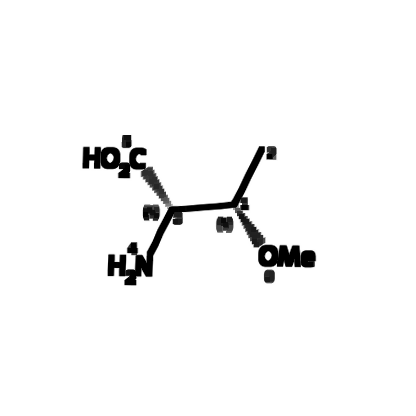 CO[C@@H](C)[C@H](N)C(=O)O